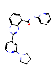 O=C(Nc1ccccn1)c1cccc2[nH]c(-c3ccnc(N4CCCC4)c3)nc12